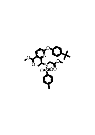 COC(=O)CN(C(C)c1nc(Oc2ccc(C(C)(C)C)cc2)ccc1C(=O)OC)S(=O)(=O)c1ccc(C)cc1